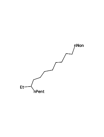 [CH2]CC(CCCCC)CCCCCCCCCCCCCCCCC